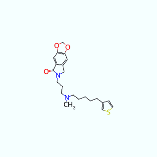 CN(CCCCCc1ccsc1)CCCN1Cc2cc3c(cc2C1=O)OCO3